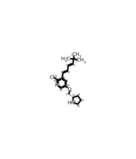 CC(C)(C)C=CC=Cc1cc(OC[C@@H]2CCCN2)cnc1Cl